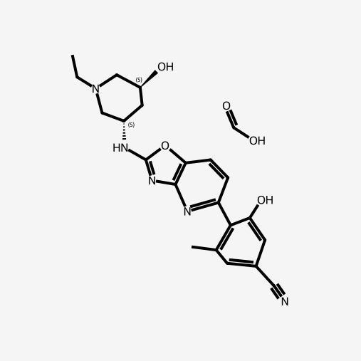 CCN1C[C@@H](O)C[C@H](Nc2nc3nc(-c4c(C)cc(C#N)cc4O)ccc3o2)C1.O=CO